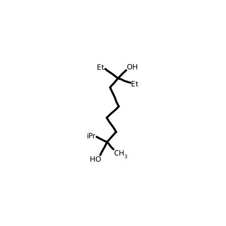 CCC(O)(CC)CCCCC(C)(O)C(C)C